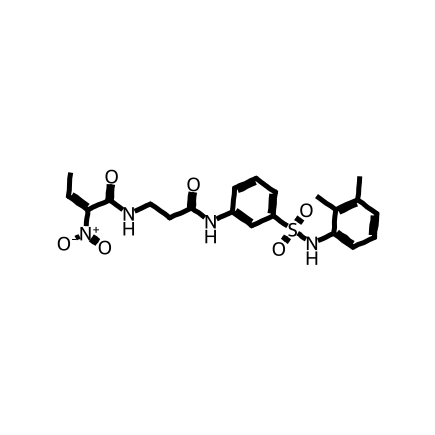 C/C=C(\C(=O)NCCC(=O)Nc1cccc(S(=O)(=O)Nc2cccc(C)c2C)c1)[N+](=O)[O-]